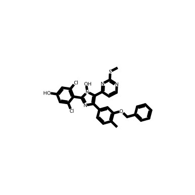 CSc1nccc(-c2c(-c3ccc(C)c(OCc4ccccc4)c3)nc(-c3c(Cl)cc(O)cc3Cl)n2O)n1